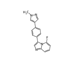 Cn1cc(-c2ccc(-c3cnc4cccc(F)n34)cc2)cn1